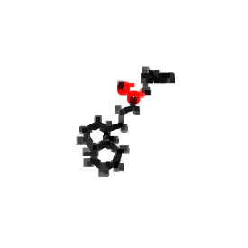 CCCCCCCCCC[O+]([O-])CCCc1cccc2ccccc12